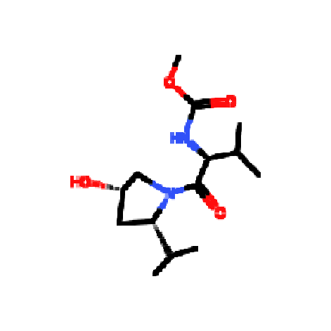 COC(=O)N[C@H](C(=O)N1C[C@@H](O)C[C@H]1C(C)C)C(C)C